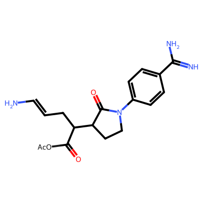 CC(=O)OC(=O)C(CC=CN)C1CCN(c2ccc(C(=N)N)cc2)C1=O